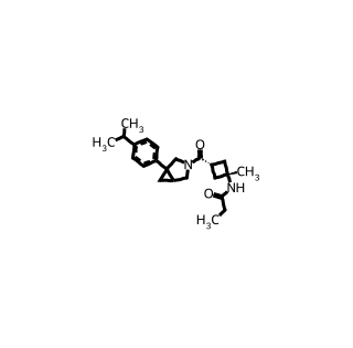 CCC(=O)N[C@]1(C)C[C@H](C(=O)N2CC3CC3(c3ccc(C(C)C)cc3)C2)C1